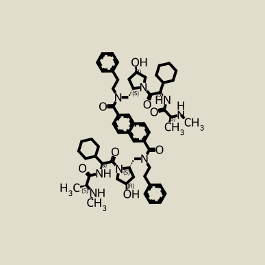 CN[C@@H](C)C(=O)N[C@H](C(=O)N1C[C@H](O)C[C@H]1CN(CCc1ccccc1)C(=O)c1ccc2cc(C(=O)N(CCc3ccccc3)C[C@@H]3C[C@@H](O)CN3C(=O)[C@@H](NC(=O)[C@H](C)NC)C3CCCCC3)ccc2c1)C1CCCCC1